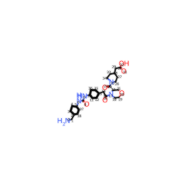 NCc1ccc(NC(=O)Nc2ccc(CC(=O)N3CCOC[C@H]3C(=O)N3CCC(CC(=O)O)CC3)cc2)cc1